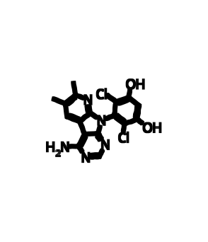 Cc1cc2c3c(N)ncnc3n(-c3c(Cl)c(O)cc(O)c3Cl)c2nc1C